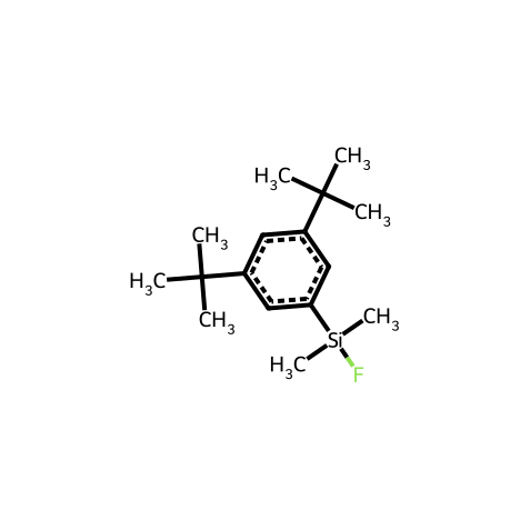 CC(C)(C)c1cc(C(C)(C)C)cc([Si](C)(C)F)c1